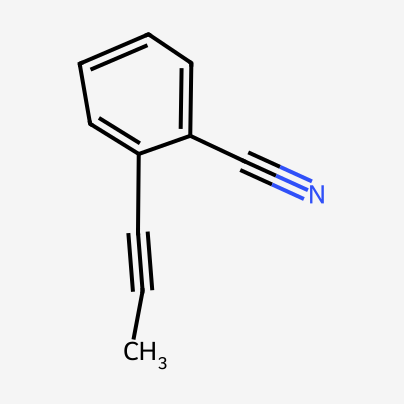 CC#Cc1ccccc1C#N